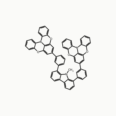 Cn1c2c(-c3cccc(-c4cc5c6c(c4)Oc4ccccc4B6c4ccccc4O5)c3)cccc2c2cccc(-c3cccc(-c4cc5c6c(c4)Oc4ccccc4B6c4ccccc4O5)c3)c21